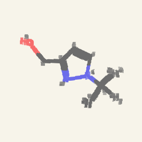 [2H]C([2H])([2H])n1ccc(CO)n1